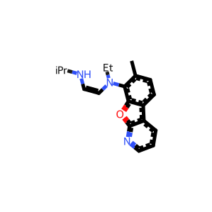 CCN(/C=C\NC(C)C)c1c(C)ccc2c1oc1ncccc12